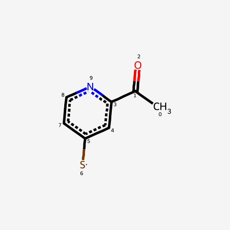 CC(=O)c1cc([S])ccn1